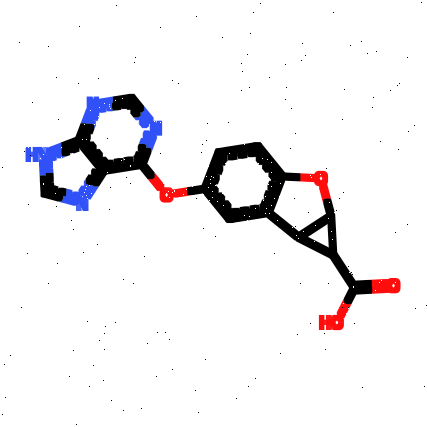 O=C(O)C1C2Oc3ccc(Oc4ncnc5[nH]cnc45)cc3C21